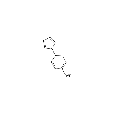 CCCc1ccc(-n2cccc2)cc1